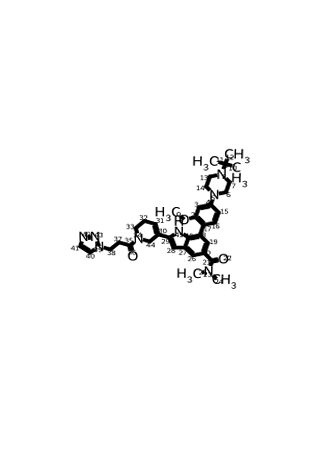 COc1cc(N2CCN(C(C)(C)C)CC2)ccc1-c1cc(C(=O)N(C)C)cc2cc(C3=CCCN(C(=O)CCn4ccnn4)C3)[nH]c12